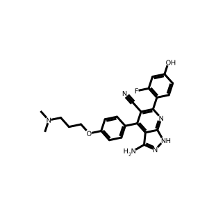 CN(C)CCCOc1ccc(-c2c(C#N)c(-c3ccc(O)cc3F)nc3[nH]nc(N)c23)cc1